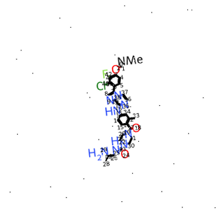 CNCOc1ccc(-c2cnc3c(Nc4ccc(C(=O)N5CCN(C(=O)NC[C@@H](C)N)CC5)c(C)c4)nccn23)c(Cl)c1F